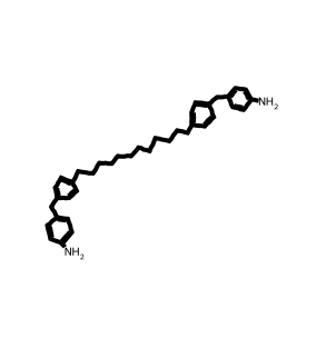 Nc1ccc(Cc2ccc(CCCCCCCCCCCCc3ccc(Cc4ccc(N)cc4)cc3)cc2)cc1